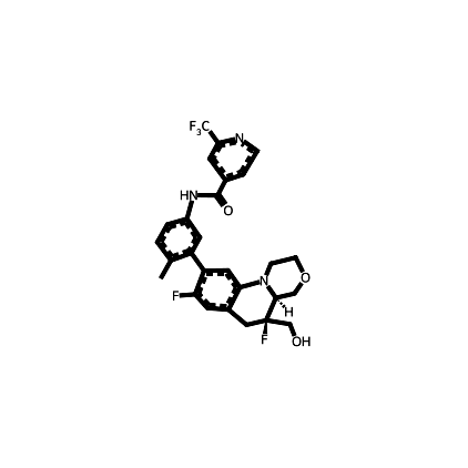 Cc1ccc(NC(=O)c2ccnc(C(F)(F)F)c2)cc1-c1cc2c(cc1F)C[C@@](F)(CO)[C@@H]1COCCN21